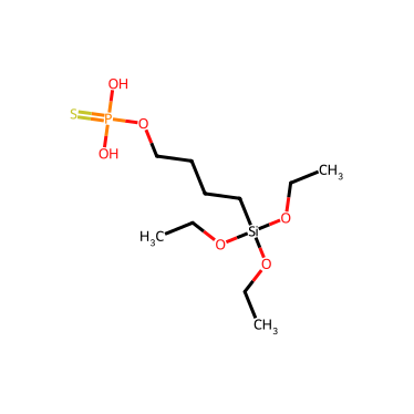 CCO[Si](CCCCOP(O)(O)=S)(OCC)OCC